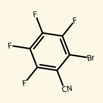 N#Cc1c(F)c(F)c(F)c(F)c1Br